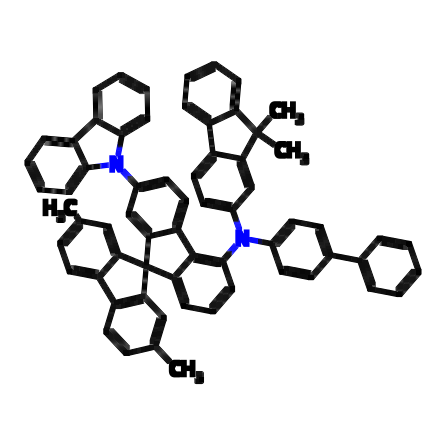 Cc1ccc2c(c1)C1(c3cc(C)ccc3-2)c2cc(-n3c4ccccc4c4ccccc43)ccc2-c2c(N(c3ccc(-c4ccccc4)cc3)c3ccc4c(c3)C(C)(C)c3ccccc3-4)cccc21